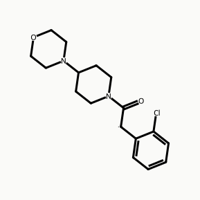 O=C([CH]c1ccccc1Cl)N1CCC(N2CCOCC2)CC1